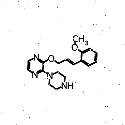 COc1ccccc1C=CCOc1nccnc1N1CCNCC1